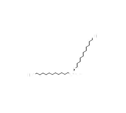 CCCCCCCCCCCCOP(O)SCCCCCCCCCCCC